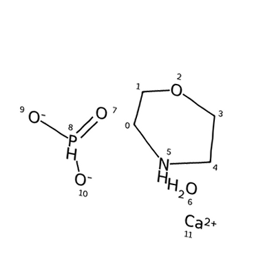 C1COCCN1.O.O=[PH]([O-])[O-].[Ca+2]